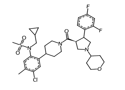 Cc1cc(N(CC2CC2)S(C)(=O)=O)c(C2CCN(C(=O)[C@@H]3CN(C4CCOCC4)CC3c3ccc(F)cc3F)CC2)cc1Cl